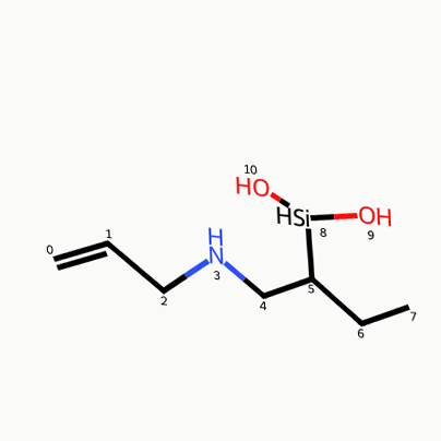 C=CCNCC(CC)[SiH](O)O